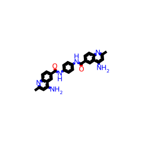 Cc1cc(N)c2cc(C(=O)Nc3ccc(NC(=O)c4ccc5nc(C)cc(N)c5c4)cc3)ccc2n1